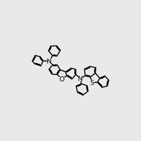 c1ccc(N(c2ccccc2)c2ccc3oc4cc(N(c5ccccc5)c5cccc6c5sc5ccccc56)ccc4c3c2)cc1